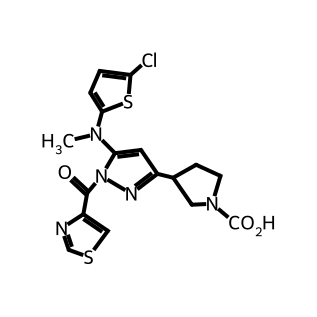 CN(c1ccc(Cl)s1)c1cc(C2CCN(C(=O)O)C2)nn1C(=O)c1cscn1